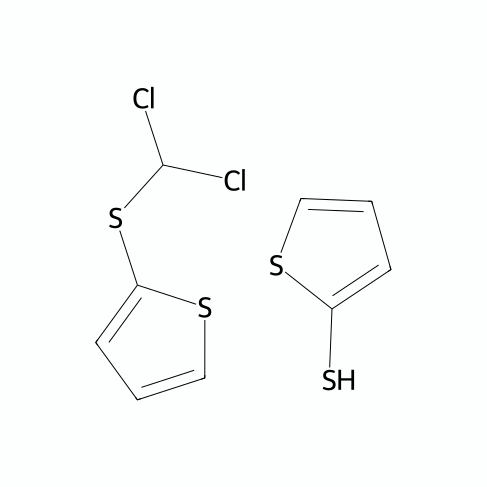 ClC(Cl)Sc1cccs1.Sc1cccs1